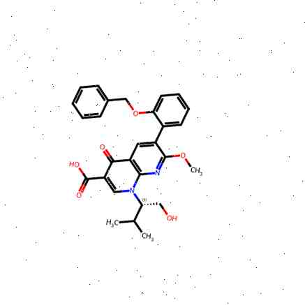 COc1nc2c(cc1-c1ccccc1OCc1ccccc1)c(=O)c(C(=O)O)cn2[C@H](CO)C(C)C